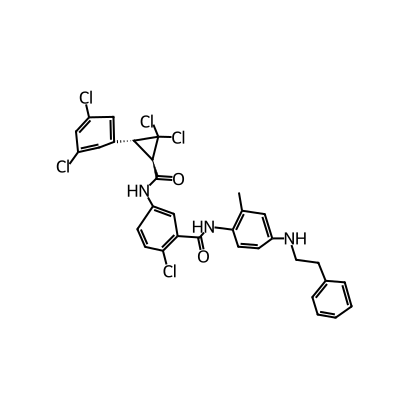 Cc1cc(NCCc2ccccc2)ccc1NC(=O)c1cc(NC(=O)[C@H]2[C@H](c3cc(Cl)cc(Cl)c3)C2(Cl)Cl)ccc1Cl